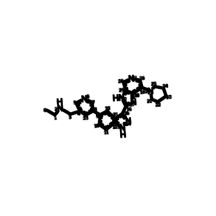 CCNCc1cncc(-c2ccc3[nH]nc(-c4nc5c(N6CCCCC6)cncc5[nH]4)c3c2)c1